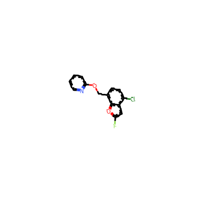 Fc1cc2c(Cl)ccc(COc3ccccn3)c2o1